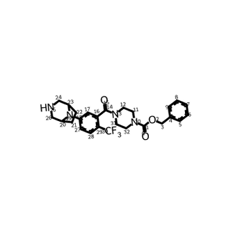 O=C(OCc1ccccc1)N1CCN(C(=O)c2cc(N3C4CCC3CNC4)ccc2C(F)(F)F)CC1